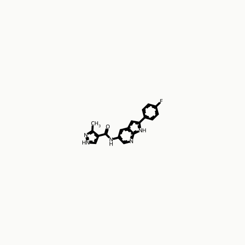 Cc1n[nH]cc1C(=O)Nc1cnc2[nH]c(-c3ccc(F)cc3)cc2c1